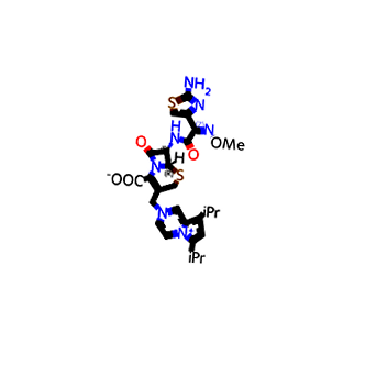 CO/N=C(\C(=O)N[C@@H]1C(=O)N2C(C(=O)[O-])=C(Cn3cc[n+]4c(C(C)C)cc(C(C)C)c-4c3)CS[C@H]12)c1csc(N)n1